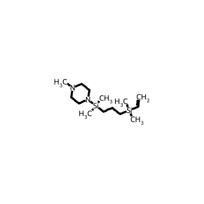 C=C[Si](C)(C)CCC[Si](C)(C)N1CCN(C)CC1